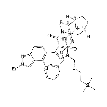 CCn1cc2c(Cl)c(-c3cn(COCC[Si](C)(C)C)c4nc(N5[C@H]6CC[C@@H]5[C@@H](F)[C@@H](NC(=O)OCc5ccccc5)C6)n(C)c(=O)c34)ccc2n1